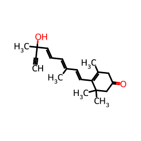 C#CC(C)(O)/C=C/C=C(C)/C=C/C1=C(C)CC(=O)CC1(C)C